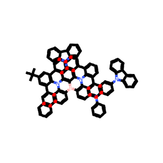 CC(C)(C)c1cc(-c2ccccc2)c(N2c3cc(-c4ccccc4)ccc3B3c4ccc(N(c5ccccc5)c5ccc(-n6c7ccccc7c7ccccc76)cc5)cc4N(c4c(-c5ccccc5)cccc4-c4ccccc4)c4cc(-n5c6ccccc6c6ccccc65)cc2c43)c(-c2ccccc2)c1